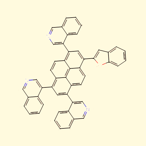 c1ccc2oc(-c3cc(-c4cncc5ccccc45)c4ccc5c(-c6cncc7ccccc67)cc(-c6cncc7ccccc67)c6ccc3c4c65)cc2c1